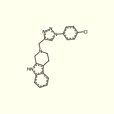 Clc1ccc(-n2cc(CN3CCc4c([nH]c5ccccc45)C3)nn2)cc1